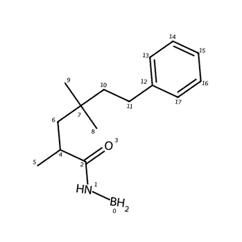 BNC(=O)C(C)CC(C)(C)CCc1ccccc1